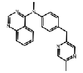 Cc1cnc(Cc2ccc(N(C)c3ncnc4ccccc34)cc2)cn1